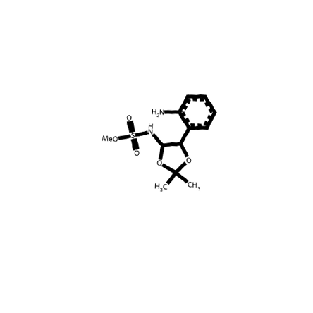 COS(=O)(=O)NC1OC(C)(C)OC1c1ccccc1N